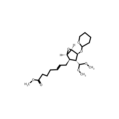 COC(=O)CCCC=CC[C@H]1[C@H]2O[C@H]2[C@@H](OC2CCCCO2)[C@@H]1C(OC)OC